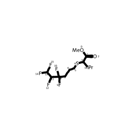 COC(=O)C(SCCCC(F)(F)C(F)C(F)F)C(C)C